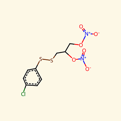 O=[N+]([O-])OCC(CSSc1ccc(Cl)cc1)O[N+](=O)[O-]